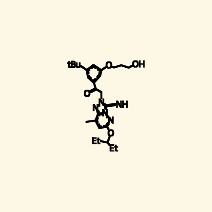 CCC(CC)Oc1cc(C)c2nn(CC(=O)c3cc(OCCCO)cc(C(C)(C)C)c3)c(=N)n2n1